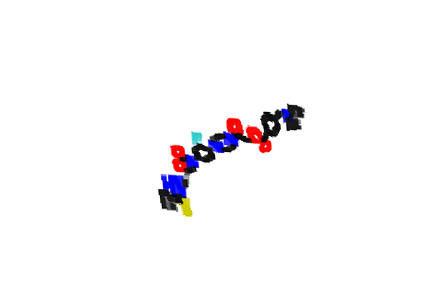 CCC(=S)NC[C@H]1CN(c2ccc(N3CCN(C(=O)COC(=O)c4ccc(CN(CC)CC)cc4)CC3)c(F)c2)C(=O)O1